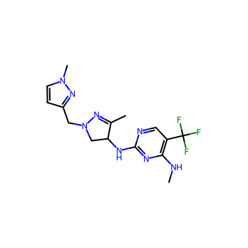 CNc1nc(NC2CN(Cc3ccn(C)n3)N=C2C)ncc1C(F)(F)F